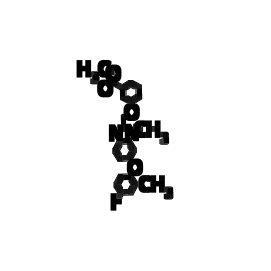 COC(=O)c1cccc(OCc2nc3ccc(Oc4ccc(F)cc4C)cc3n2C)c1